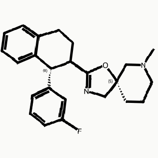 CN1CCC[C@@]2(CN=C(C3CCc4ccccc4[C@H]3c3cccc(F)c3)O2)C1